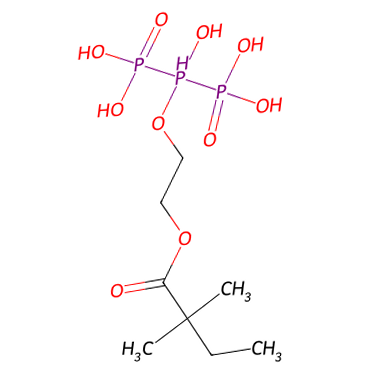 CCC(C)(C)C(=O)OCCO[PH](O)(P(=O)(O)O)P(=O)(O)O